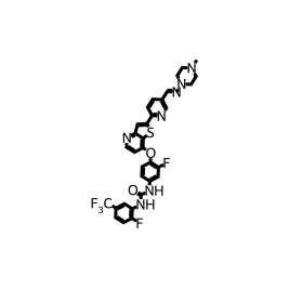 CN1CCN(N=Cc2ccc(-c3cc4nccc(Oc5ccc(NC(=O)Nc6cc(C(F)(F)F)ccc6F)cc5F)c4s3)nc2)CC1